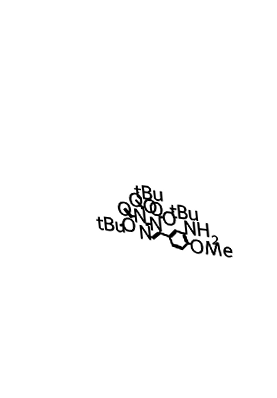 COc1ccc(-c2cnc(N(C(=O)OC(C)(C)C)C(=O)OC(C)(C)C)n2C(=O)OC(C)(C)C)cc1N